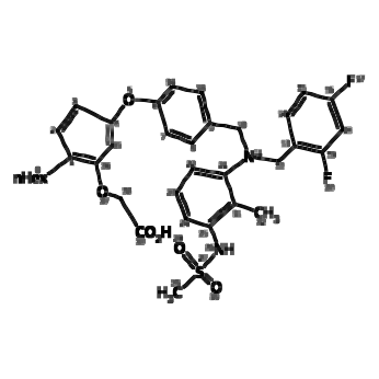 CCCCCCc1ccc(Oc2ccc(CN(Cc3ccc(F)cc3F)c3cccc(NS(C)(=O)=O)c3C)cc2)cc1OCC(=O)O